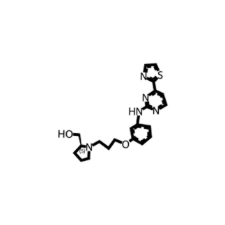 OC[C@@H]1CCCN1CCCOc1cccc(Nc2nccc(-c3nccs3)n2)c1